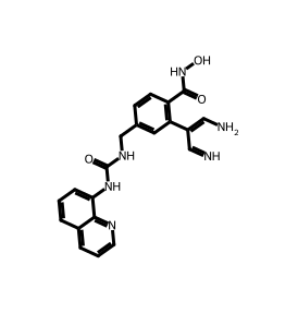 N=C/C(=C\N)c1cc(CNC(=O)Nc2cccc3cccnc23)ccc1C(=O)NO